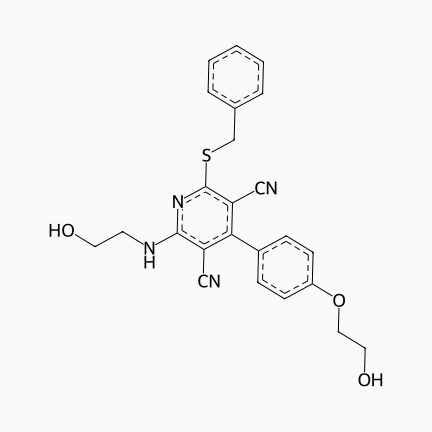 N#Cc1c(NCCO)nc(SCc2ccccc2)c(C#N)c1-c1ccc(OCCO)cc1